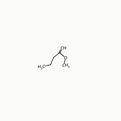 [CH]=C(CCC)OC